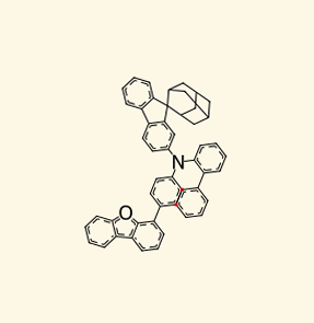 c1ccc(-c2ccccc2N(c2ccc(-c3cccc4c3oc3ccccc34)cc2)c2ccc3c(c2)C2(c4ccccc4-3)C3CC4CC(C3)CC2C4)cc1